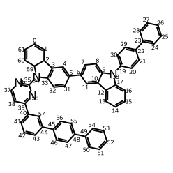 C1=CC2c3cc(-c4ccc5c(c4)c4ccccc4n5-c4ccc(-c5ccccc5)cc4)ccc3N(c3nccc(-c4cccc(-c5ccc(-c6ccccc6)cc5)c4)n3)C2C=C1